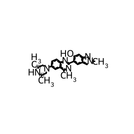 Cc1nc(-c2cc3cn(C)nc3cc2O)nc2ccc(N3C[C@@H](C)N[C@@H](C)C3)cc12